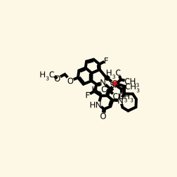 COCOc1cc(-c2nc3c4c(cc(=O)[nH]c4c2F)N2CCCCCC2CO3)c2c(C#C[Si](C(C)C)(C(C)C)C(C)C)c(F)ccc2c1